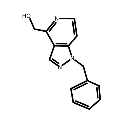 OCc1nccc2c1cnn2Cc1ccccc1